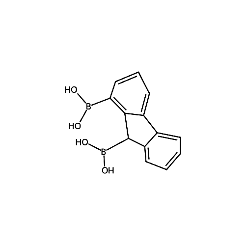 OB(O)c1cccc2c1C(B(O)O)c1ccccc1-2